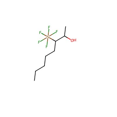 CCCCCC(C(C)O)S(F)(F)(F)(F)F